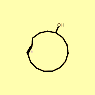 OC1CCC/C=C/CCCCCCCCC1